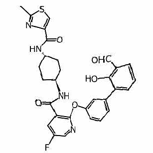 Cc1nc(C(=O)N[C@H]2CC[C@H](NC(=O)c3cc(F)cnc3Oc3cccc(-c4cccc(C=O)c4O)c3)CC2)cs1